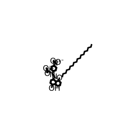 CCCCCCCCCCCCCCCCCCOc1cccc2c(O)ccc(N=Nc3ccc([N+](=O)[O-])cc3[N+](=O)[O-])c12